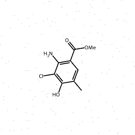 COC(=O)c1cc(C)c(O)c(Cl)c1N